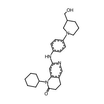 O=C1CCc2cnc(Nc3ccc(N4CCCC(CO)C4)cc3)cc2N1C1CCCCC1